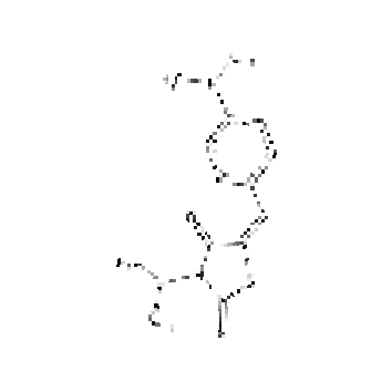 CC(C)N1C(=O)/C(=C\c2ccc(N(C)C)cc2)SC1=S